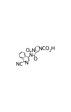 N#Cc1ncc(N2C(=O)C3C4CC(CN4C(=O)O)N3C2=O)c2ccccc12